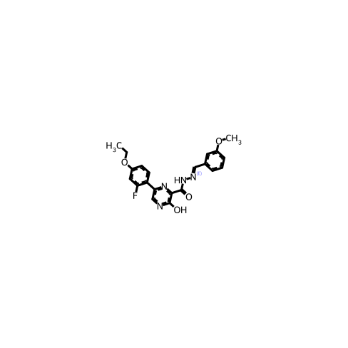 CCOc1ccc(-c2cnc(O)c(C(=O)N/N=C/c3cccc(OC)c3)n2)c(F)c1